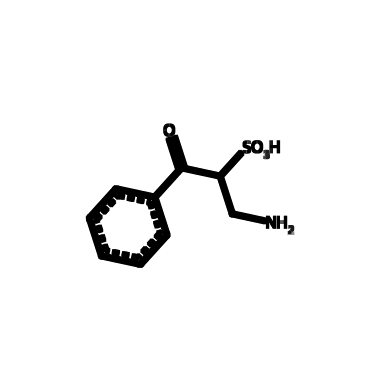 NCC(C(=O)c1ccccc1)S(=O)(=O)O